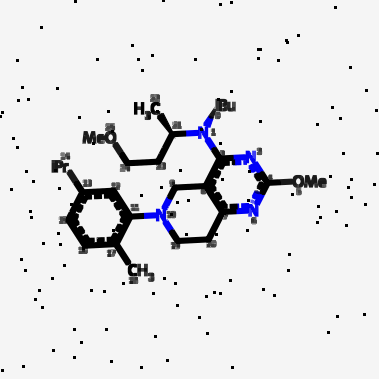 CC[C@H](C)N(c1nc(OC)nc2c1CN(c1cc(C(C)C)ccc1C)CC2)[C@H](C)CCOC